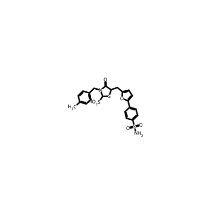 Cc1ccc(CN2C(=O)C(Cc3ccc(-c4ccc(S(N)(=O)=O)cc4)o3)SC2S(=O)(=O)O)cc1